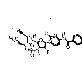 C=CCOP(=O)(OCCC#N)O[C@H]1[C@@H](F)[C@H](n2ccc(NC(=O)c3ccccc3)nc2=O)O[C@@H]1CO